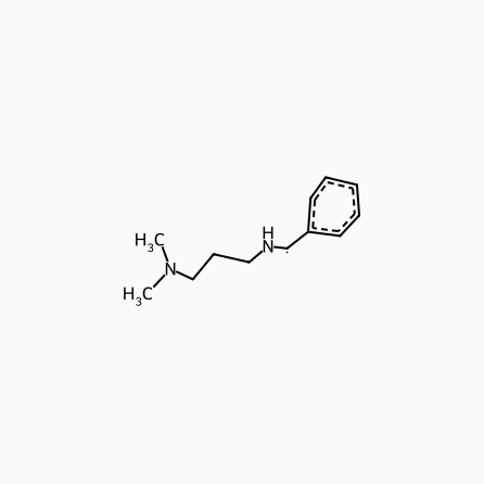 CN(C)CCCN[CH]c1ccccc1